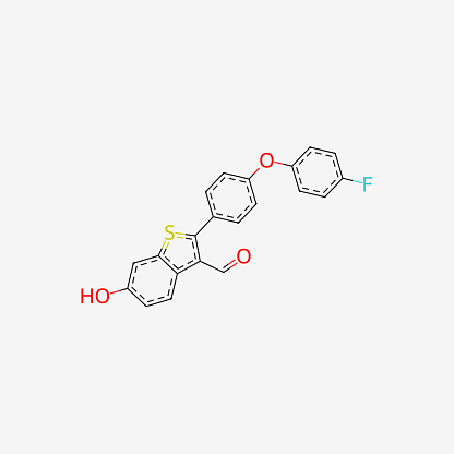 O=Cc1c(-c2ccc(Oc3ccc(F)cc3)cc2)sc2cc(O)ccc12